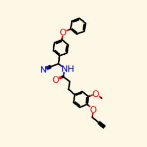 C#CCOc1ccc(CCC(=O)NC(C#N)c2ccc(Oc3ccccc3)cc2)cc1OC